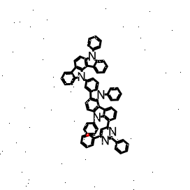 c1ccc(-c2cc(-c3cccc4c5c(ccc6c7cc(-n8c9ccccc9c9ccc%10c(c%11ccccc%11n%10-c%10ccccc%10)c98)ccc7n(-c7ccccc7)c65)n(-c5ccccc5)c34)nc(-c3ccccc3)n2)cc1